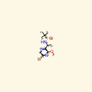 COc1nc(Br)cnc1C(C)N[S@+]([O-])C(C)(C)C